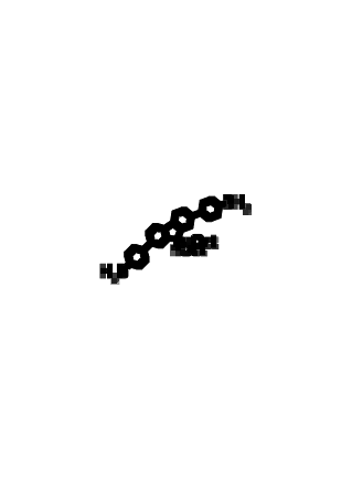 Bc1ccc(-c2ccc3c(c2)C(CCCCCCCC)(CCCCCCCC)c2cc(-c4ccc(B)cc4)ccc2-3)cc1